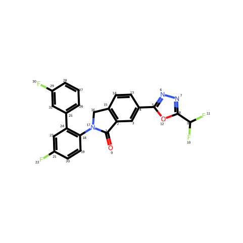 O=C1c2cc(-c3nnc(C(F)F)o3)ccc2CN1c1ccc(F)cc1-c1cccc(F)c1